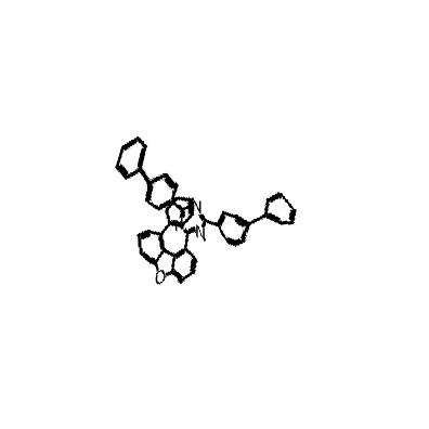 C1=CCCC(c2cccc3oc4cccc(-c5nc(-c6ccc(-c7ccccc7)cc6)nc(-c6ccc(-c7ccccc7)cc6)n5)c4c23)=C1